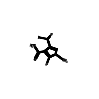 Cn1cc(C(F)F)c(C(N)=O)c1F